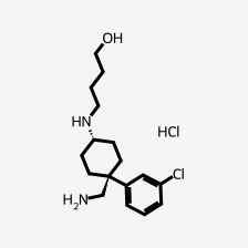 Cl.NC[C@]1(c2cccc(Cl)c2)CC[C@@H](NCCCCO)CC1